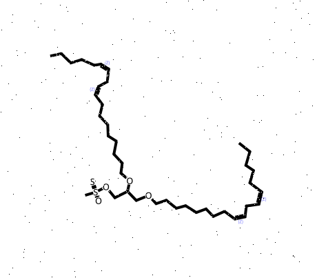 CCCCC/C=C\C/C=C\CCCCCCCCOCC(COS(C)(=O)=S)OCCCCCCCC/C=C\C/C=C\CCCCC